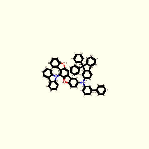 C1=C2Oc3c(cc4oc5ccccc5c4c3-n3c4ccccc4c4ccccc43)C2CC(N(c2cccc(-c3ccccc3)c2)c2ccc3c(c2)C(c2ccccc2)(c2ccccc2)c2ccccc2-3)=C1